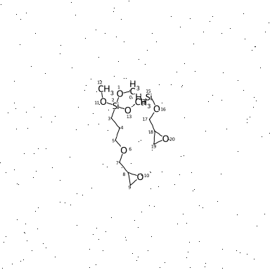 CO[Si](CCCOCC1CO1)(OC)OC.[SiH3]OCC1CO1